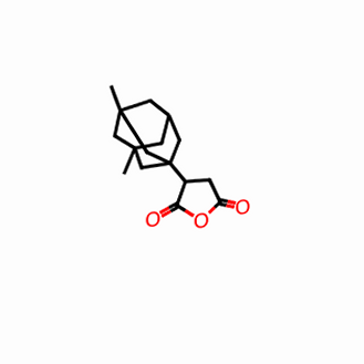 CC12CC3CC(C)(C1)CC(C1CC(=O)OC1=O)(C3)C2